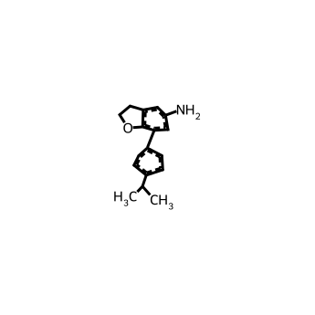 CC(C)c1ccc(-c2cc(N)cc3c2OCC3)cc1